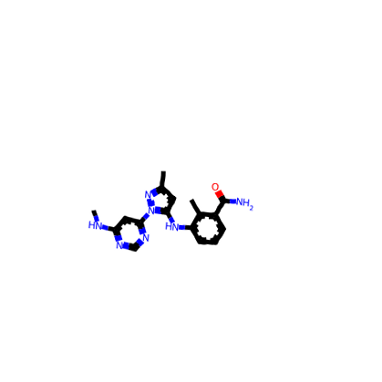 CNc1cc(-n2nc(C)cc2Nc2cccc(C(N)=O)c2C)ncn1